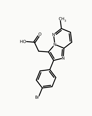 Cc1ccc2nc(-c3ccc(Br)cc3)c(CC(=O)O)n2n1